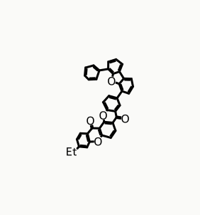 CCc1ccc2c(=O)c3c(ccc4c(=O)c5cc(-c6cccc7c6oc6c(-c8ccccc8)cccc67)ccc5oc43)oc2c1